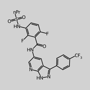 CCCS(=O)(=O)Nc1ccc(F)c(C(=O)Nc2cnc3[nH]nc(-c4ccc(C(F)(F)F)cc4)c3c2)c1F